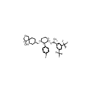 C[C@@H](O[C@H]1OCC[C@@H](CN2CCC3(CC2)COC[C@@H]3O)[C@@H]1c1ccc(F)cc1)c1cc(C(F)(F)F)cc(C(F)(F)F)c1